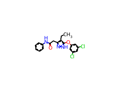 CCc1c(CC(=O)Nc2ccccc2)n[nH]c1Oc1cc(Cl)cc(Cl)c1